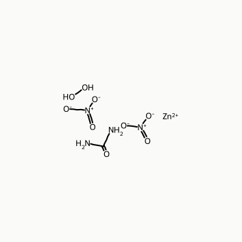 NC(N)=O.O=[N+]([O-])[O-].O=[N+]([O-])[O-].OO.[Zn+2]